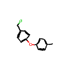 Cc1ccc(Oc2ccc(CCl)cc2)cc1